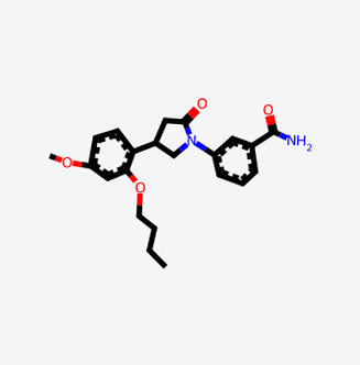 CCCCOc1cc(OC)ccc1C1CC(=O)N(c2cccc(C(N)=O)c2)C1